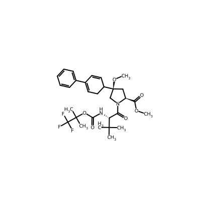 COC(=O)[C@@H]1C[C@@](OC)(C2C=CC(c3ccccc3)=CC2)CN1C(=O)[C@@H](NC(=O)OC(C)(C)C(F)(F)F)C(C)(C)C